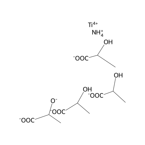 CC(O)C(=O)[O-].CC(O)C(=O)[O-].CC(O)C(=O)[O-].CC([O-])C(=O)[O-].[NH4+].[Ti+4]